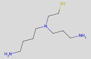 NCCCCN(CCS)CCCN